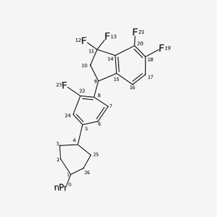 CCCC1CCC(c2ccc(C3CC(F)(F)c4c3ccc(F)c4F)c(F)c2)CC1